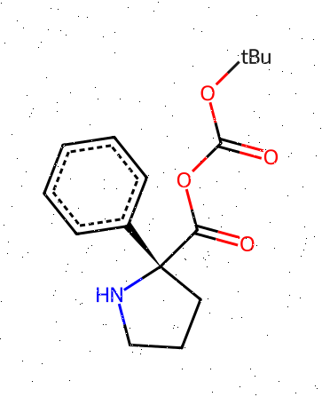 CC(C)(C)OC(=O)OC(=O)[C@]1(c2ccccc2)CCCN1